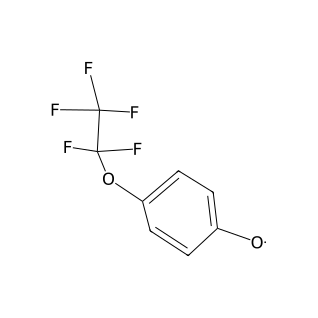 [O]c1ccc(OC(F)(F)C(F)(F)F)cc1